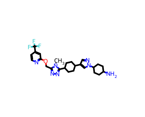 Cn1c(COc2cc(C(F)(F)F)ccn2)nnc1C1CCC(c2cnn(C3CCC(N)CC3)c2)CC1